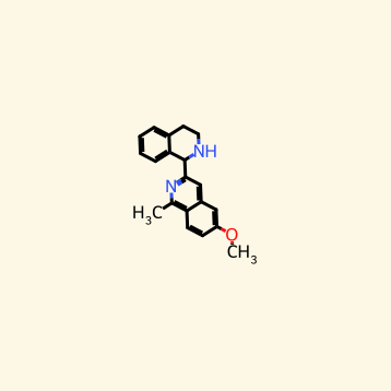 COc1ccc2c(C)nc(C3NCCc4ccccc43)cc2c1